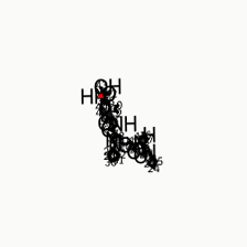 CCC[C@H](NC(=O)c1cc(OCC(=O)N2CCC[C@H]2C(=O)NC2CCC2)n(-c2ccccc2)n1)C(=O)N1CCC(NC(=O)O)CC1